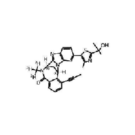 [2H]C([2H])([2H])N1C(=O)c2cccc(C#CC)c2[C@H]2C[C@@H]1c1nc3ccc(-c4sc(C(C)(C)O)nc4C)cc3n12